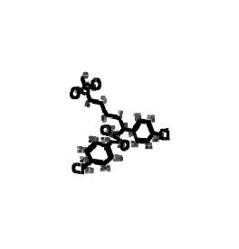 CS(=O)(=O)CCCCC(c1ccc(Cl)cc1)S(=O)(=O)c1ccc(Cl)cc1